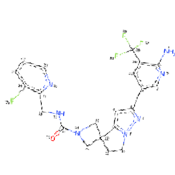 Nc1ncc(-c2cc3n(n2)CCC32CN(C(=O)NCc3ncccc3F)C2)cc1C(F)(F)F